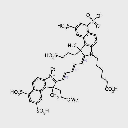 CC[N+]1=C(/C=C/C=C/C=C2/N(CCCCCC(=O)O)c3ccc4c(S(=O)(=O)[O-])cc(S(=O)(=O)O)cc4c3C2(C)CCCS(=O)(=O)O)C(C)(CCOC)c2c1ccc1c(S(=O)(=O)O)cc(S(=O)(=O)O)cc21